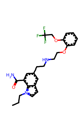 CCCn1ccc2cc(CCNCCOc3ccccc3OCC(F)(F)F)cc(C(N)=O)c21